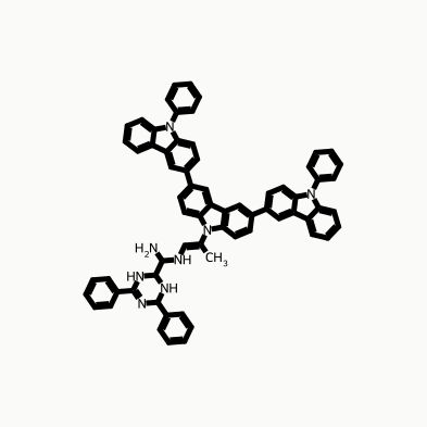 C/C(=C\NC(N)C1NC(c2ccccc2)=NC(c2ccccc2)N1)n1c2ccc(-c3ccc4c(c3)c3ccccc3n4-c3ccccc3)cc2c2cc(-c3ccc4c(c3)c3ccccc3n4-c3ccccc3)ccc21